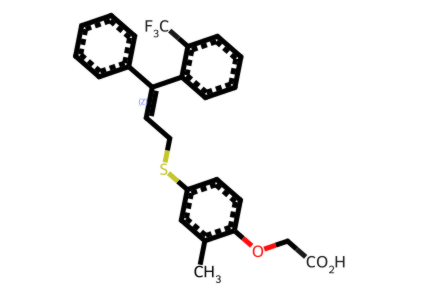 Cc1cc(SC/C=C(/c2ccccc2)c2ccccc2C(F)(F)F)ccc1OCC(=O)O